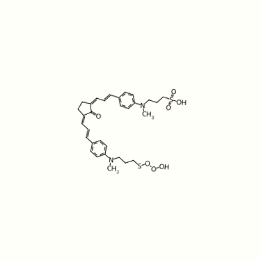 CN(CCCSOOO)c1ccc(C=CC=C2CCC(=CC=Cc3ccc(N(C)CCCS(=O)(=O)O)cc3)C2=O)cc1